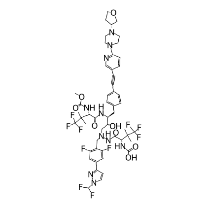 COC(=O)N[C@H](C(=O)N[C@@H](Cc1ccc(C#Cc2ccc(N3CCN([C@@H]4CCOC4)CC3)nc2)cc1)[C@@H](O)CN(Cc1c(F)cc(-c2ccn(C(F)F)n2)cc1F)NC(=O)[C@@H](NC(=O)O)C(C)(C)C(F)(F)F)C(C)(C)C(F)(F)F